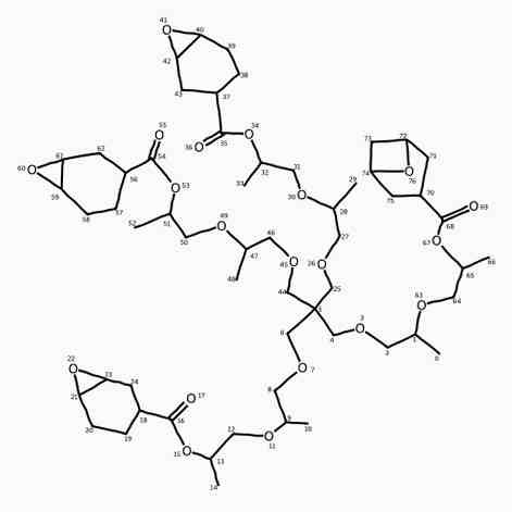 CC(COCC(COCC(C)OCC(C)OC(=O)C1CCC2OC2C1)(COCC(C)OCC(C)OC(=O)C1CCC2OC2C1)COCC(C)OCC(C)OC(=O)C1CCC2OC2C1)OCC(C)OC(=O)C1CC2CC(C1)O2